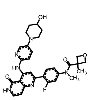 CN(C(=O)C1(C)COC1)c1ccc(-c2cc(Nc3ccc(N4CCC(O)CC4)cn3)c3c(=O)[nH]ccc3n2)c(F)c1